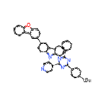 CC(C)(C)c1ccc(-c2nc(-c3ccccc3)nc(-c3ccncc3-n3c4ccccc4c4cc(-c5ccc6oc7ccccc7c6c5)ccc43)n2)cc1